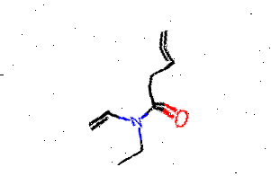 C=CCC(=O)N(C=C)CC